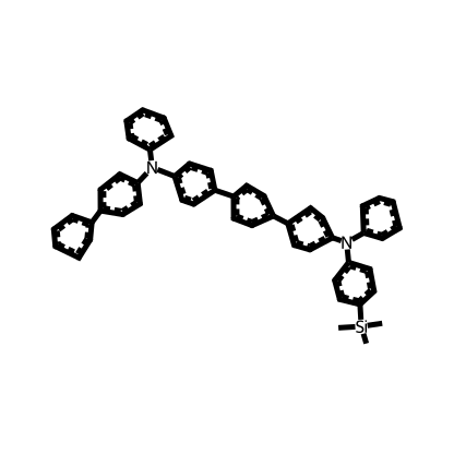 C[Si](C)(C)c1ccc(N(c2ccccc2)c2ccc(-c3ccc(-c4ccc(N(c5ccccc5)c5ccc(-c6ccccc6)cc5)cc4)cc3)cc2)cc1